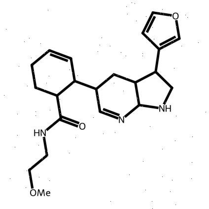 COCCNC(=O)C1CCC=CC1C1C=NC2NCC(c3ccoc3)C2C1